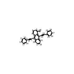 Fc1cccc2c(C#Cc3ccccc3)c3ccccc3c(C#Cc3ccccc3)c12